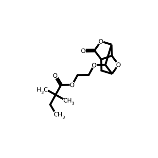 CCC(C)(C)C(=O)OCCOC1C2CC3C(=O)OC1C3O2